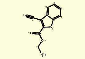 CCOC(=O)c1sc2ccccc2c1C#N